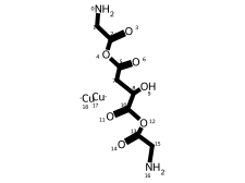 NCC(=O)OC(=O)CC(O)C(=O)OC(=O)CN.[Cu].[Cu]